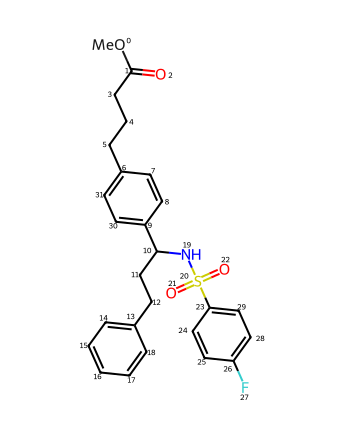 COC(=O)CCCc1ccc(C(CCc2ccccc2)NS(=O)(=O)c2ccc(F)cc2)cc1